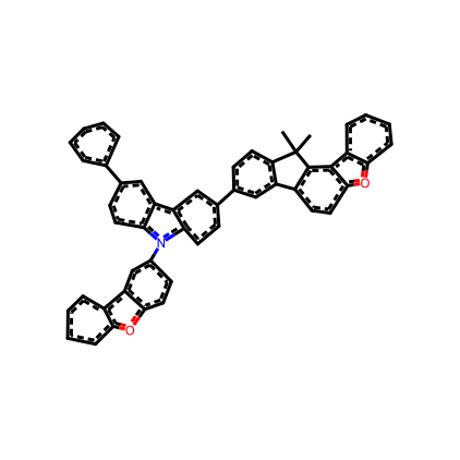 CC1(C)c2ccc(-c3ccc4c(c3)c3cc(-c5ccccc5)ccc3n4-c3ccc4oc5ccccc5c4c3)cc2-c2ccc3oc4ccccc4c3c21